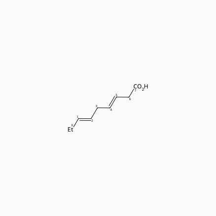 CCC=CCC=CCC(=O)O